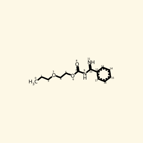 CCCOCCOC(=O)NC(=N)c1cc[c]cc1